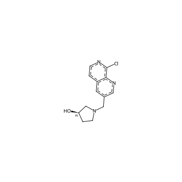 O[C@@H]1CCN(Cc2cnc3c(Cl)nccc3c2)C1